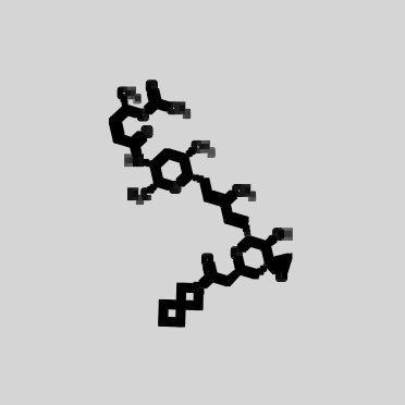 CC(=O)O[C@@H](C)/C=C\C(=O)N[C@@H]1C[C@H](C)[C@H](C/C=C(C)/C=C/[C@H]2O[C@H](CC(=O)N3CC4(CCC4)C3)C[C@@]3(CO3)[C@@H]2O)O[C@@H]1C